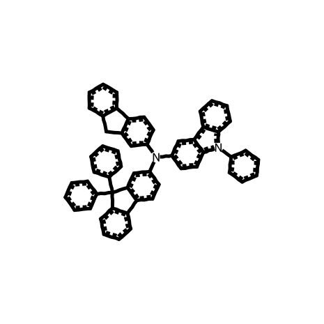 c1ccc(-n2c3ccccc3c3cc(N(c4ccc5c(c4)Cc4ccccc4-5)c4ccc5c(c4)C(c4ccccc4)(c4ccccc4)c4ccccc4-5)ccc32)cc1